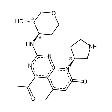 CC(=O)c1nc(N[C@@H]2CCOC[C@H]2O)nc2c1c(C)cc(=O)n2[C@H]1CCNC1